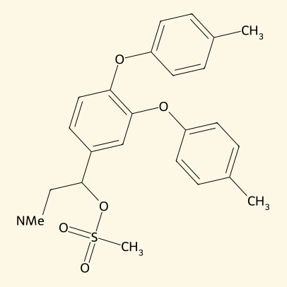 CNCC(OS(C)(=O)=O)c1ccc(Oc2ccc(C)cc2)c(Oc2ccc(C)cc2)c1